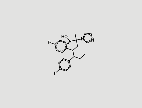 CCC(c1ccc(F)cc1)C(CC(C)(C(=O)O)n1ccnc1)c1ccc(F)cc1